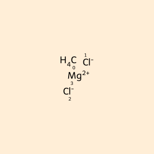 C.[Cl-].[Cl-].[Mg+2]